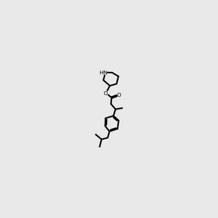 CC(C)Cc1ccc(C(C)CC(=O)OC2CCCNC2)cc1